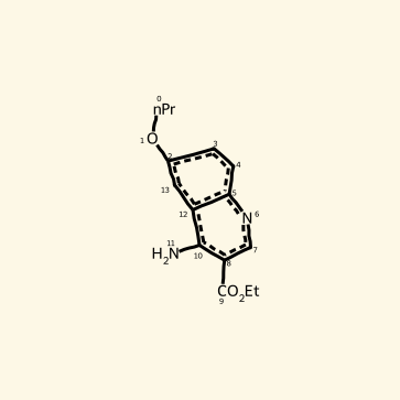 CCCOc1ccc2ncc(C(=O)OCC)c(N)c2c1